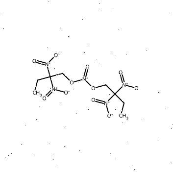 CCC(CO[N+](=O)OCC(CC)([N+](=O)[O-])[N+](=O)[O-])([N+](=O)[O-])[N+](=O)[O-]